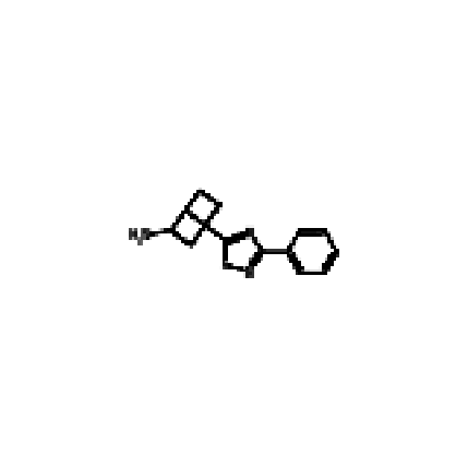 NC1CC2(c3nc(-c4ccccc4)ns3)CCC12